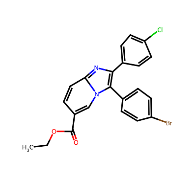 CCOC(=O)c1ccc2nc(-c3ccc(Cl)cc3)c(-c3ccc(Br)cc3)n2c1